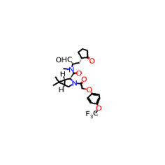 CN(C(=O)[C@@H]1[C@@H]2[C@H](CN1C(=O)COc1ccc(OC(F)(F)F)cc1)C2(C)C)[C@H](C=O)C[C@@H]1CCCC1=O